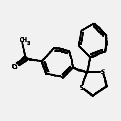 CC(=O)c1ccc(C2(c3ccccc3)SCCS2)cc1